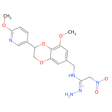 COc1ccc(C2COc3cc(CN/C(C[N+](=O)[O-])=N\N)cc(OC)c3O2)cn1